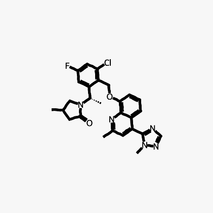 Cc1cc(-c2ncnn2C)c2cccc(OCc3c(Cl)cc(F)cc3[C@H](C)N3CC(C)CC3=O)c2n1